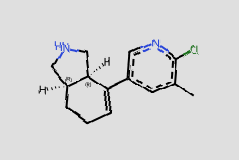 Cc1cc(C2=CCC[C@H]3CNC[C@@H]23)cnc1Cl